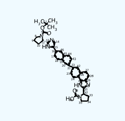 CC(C)(C)OC(=O)N1CCC[C@H]1c1ncc(-c2ccc3cc(-c4ccc5c(ccc6nc(C7CCCN7C(=O)O)[nH]c65)c4)ccc3c2)[nH]1